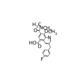 COc1c(C(=O)N(C)C)cc(C(=O)O)c2cc(Cc3ccc(F)cc3)cnc12